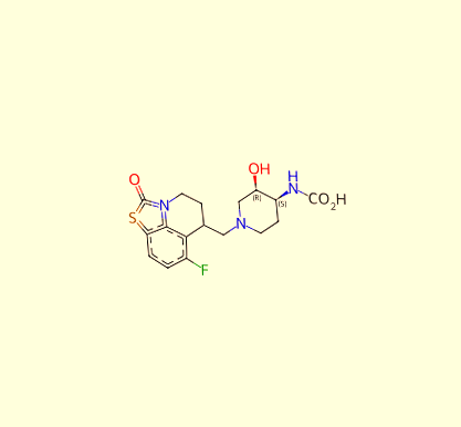 O=C(O)N[C@H]1CCN(CC2CCn3c(=O)sc4ccc(F)c2c43)C[C@H]1O